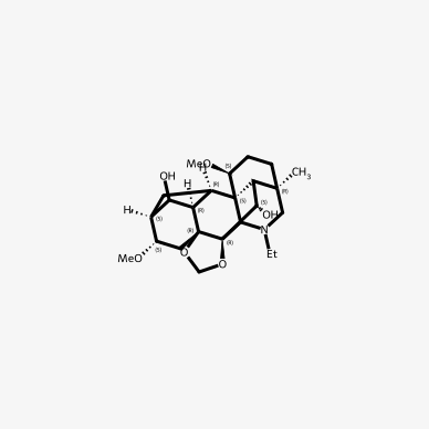 CCN1C[C@]2(C)CC[C@H](OC)[C@]34C2[C@H](O)[C@]2(OCO[C@@]25C[C@H](OC)[C@H]2C[C@@H]3[C@@H]5C2O)C14